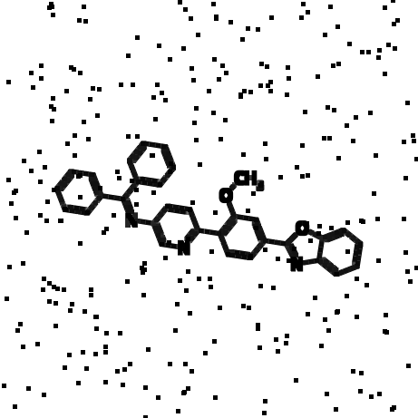 COc1cc(-c2nc3ccccc3o2)ccc1-c1ccc(N=C(c2ccccc2)c2ccccc2)cn1